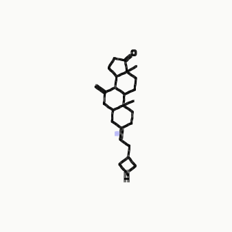 C=C1CC2C/C(=C/CC3CNC3)CCC2(C)C2CCC3(C)C(=O)CCC3C12